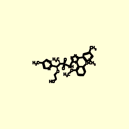 COc1cccc(OC)c1-n1c(NS(=O)(=O)[C@@H](C)[C@H](OCCO)c2ncc(C)cn2)nnc1-c1cncc(C)c1